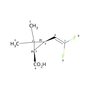 CC1(C)[C@H](C(=O)O)[C@@H]1C=C(F)F